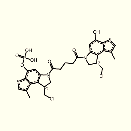 Cc1csc2c(O)cc3c(c12)[C@H](CCl)CN3C(=O)CCCC(=O)N1C[C@@H](CCl)c2c1cc(OP(=O)(O)O)c1scc(C)c21